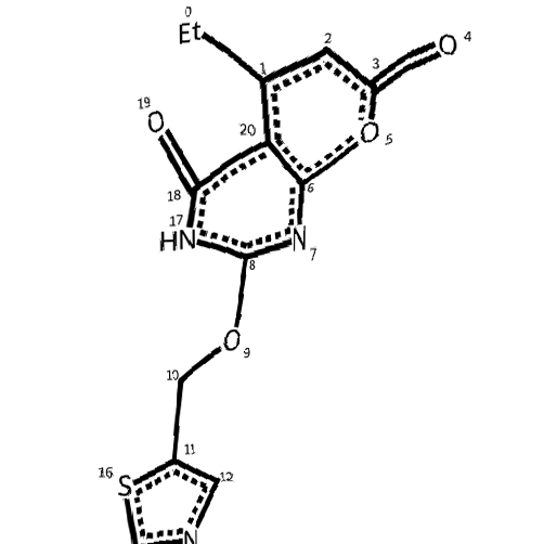 CCc1cc(=O)oc2nc(OCc3cnc(C)s3)[nH]c(=O)c12